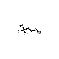 CCC[P+](CC)(CC)CCOCC